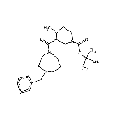 CN1CCN(C(=O)OC(C)(C)C)CC1C(=O)N1CCCN(Cc2ccccc2)CC1